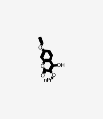 C=COc1ccc2c(O)c(OCCC)c(=O)oc2c1